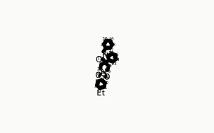 CCc1ccc(S(=O)(=O)N2CCC(C(=O)NCc3ccccc3)(c3ccccc3)CC2)cc1